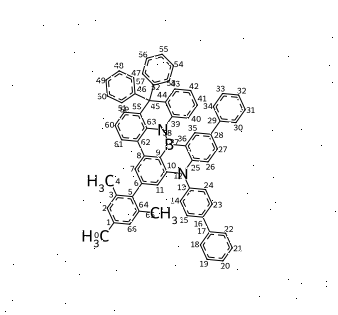 Cc1cc(C)c(-c2cc3c4c(c2)N(c2ccc(-c5ccccc5)cc2)c2ccc(-c5ccccc5)cc2B4N2c4ccccc4C(c4ccccc4)(c4ccccc4)c4cccc-3c42)c(C)c1